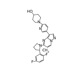 C[C@]1(c2cc(F)ccc2F)CCCN1c1ccn2ncc(-c3ccc(N4CCC(O)CC4)nc3)c2n1